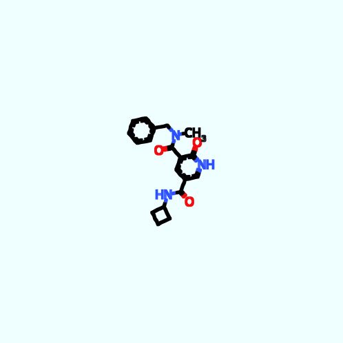 CN(Cc1ccccc1)C(=O)c1cc(C(=O)NC2CCC2)c[nH]c1=O